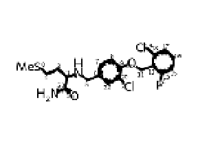 CSCCC(NCc1ccc(OCc2c(F)cccc2Cl)c(Cl)c1)C(N)=O